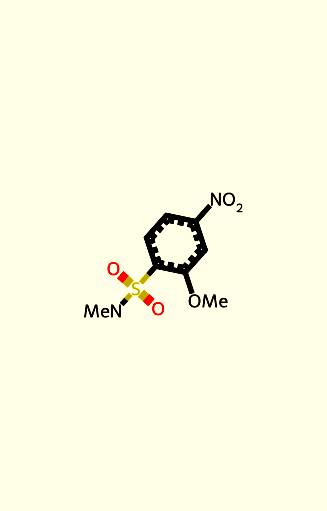 CNS(=O)(=O)c1ccc([N+](=O)[O-])cc1OC